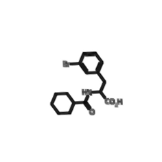 O=C(NC(Cc1cccc(Br)c1)C(=O)O)C1CCCCC1